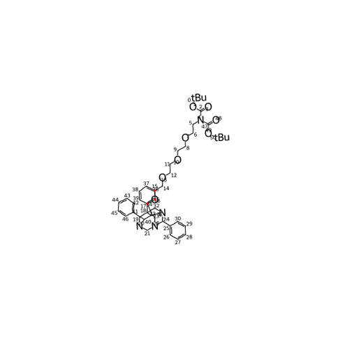 CC(C)(C)OC(=O)N(CCOCCOCCOCCOCC12CN3CN(C1)C(c1ccccc1)N(C2)C(c1ccccc1)C3c1ccccc1)C(=O)OC(C)(C)C